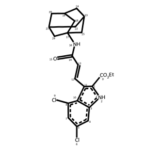 CCOC(=O)c1[nH]c2cc(Cl)cc(Cl)c2c1C=CC(=O)NC12CC3CC(CC(C3)C1)C2